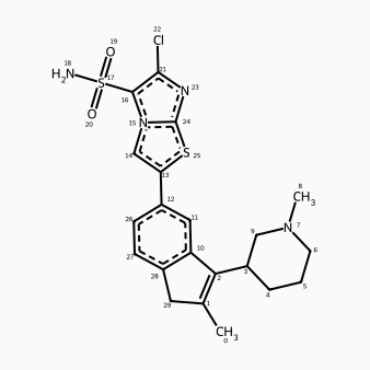 CC1=C(C2CCCN(C)C2)c2cc(-c3cn4c(S(N)(=O)=O)c(Cl)nc4s3)ccc2C1